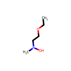 CCOCCN(C)O